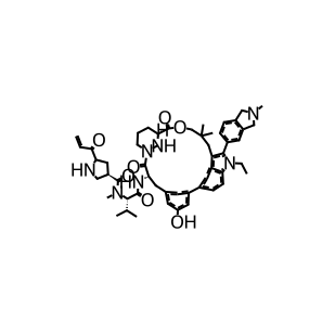 C=CC(=O)C1C[C@@H](C(=O)N(C)[C@H](C(=O)N[C@H]2Cc3cc(O)cc(c3)-c3ccc4c(c3)c(c(-c3ccc5c(c3)CN(C)C5)n4CC)CC(C)(C)COC(=O)[C@@H]3CCCN(N3)C2=O)C(C)C)CN1